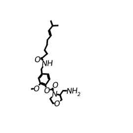 COc1cc(CNC(=O)CCCCC=CC(C)C)ccc1OC(=O)N1CCOCC1CN